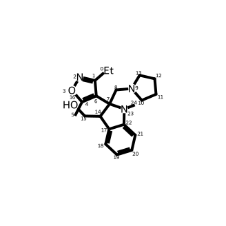 CCc1noc(C)c1C1(CN2CCCC2)C(CO)c2ccccc2N1C